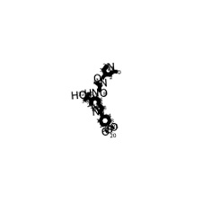 Cc1cc(-c2nc(C(=O)Nc3cc4cc(C5CCC(S(C)(=O)=O)CC5)nn4cc3C(C)(C)O)co2)ccn1